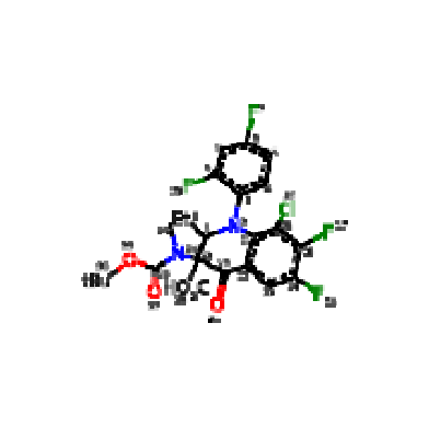 CCC1N(c2ccc(F)cc2F)c2c(cc(F)c(F)c2Cl)C(=O)C1(C(=O)O)N(C)C(=O)OC(C)(C)C